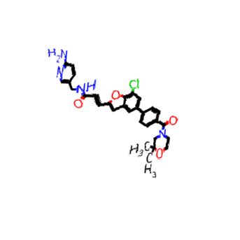 CC1(C)CN(C(=O)c2ccc(-c3cc(Cl)c4c(c3)CC(C=CC(=O)NCc3ccc(N)nc3)O4)cc2)CCO1